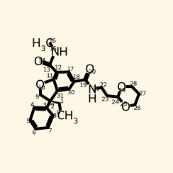 CC[C@@]1(c2ccccc2)COc2c(C(=O)NC)cc(C(=O)NCCC3OCCCO3)cc21